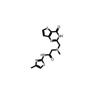 Cc1csc(NC(=O)CN(C)Cc2nc3ccsc3c(=O)[nH]2)n1